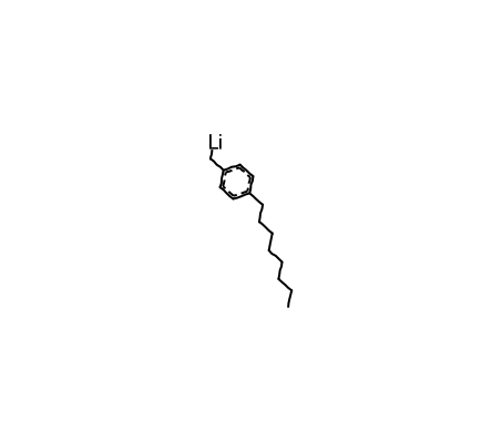 [Li][CH2]c1ccc(CCCCCCCC)cc1